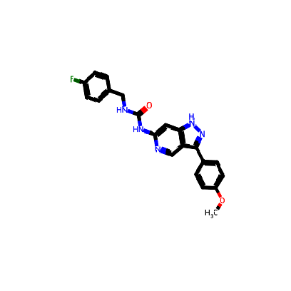 COc1ccc(-c2n[nH]c3cc(NC(=O)NCc4ccc(F)cc4)ncc23)cc1